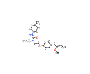 CCCCCCCN(CCOc1ccc(CC(OCC)C(=O)O)cc1)C(=O)Nc1ccc(C(F)(F)F)cc1